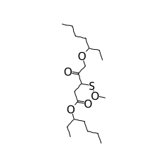 CCCCC(CC)OCC(=O)C(CC(=O)OC(CC)CCCC)SOC